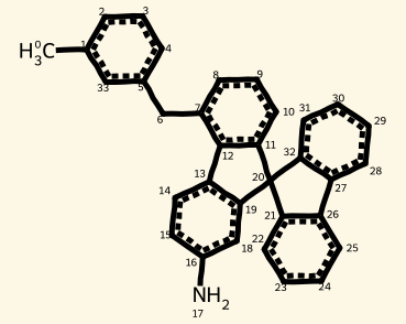 Cc1cccc(Cc2cccc3c2-c2ccc(N)cc2C32c3ccccc3-c3ccccc32)c1